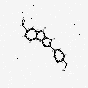 CCc1ccc(-c2cn3c(n2)sc2cc(C=O)ccc23)cc1